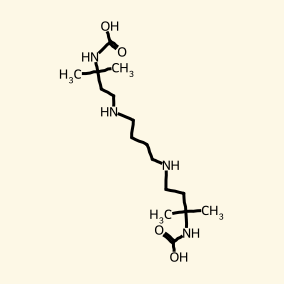 CC(C)(CCNCCCCNCCC(C)(C)NC(=O)O)NC(=O)O